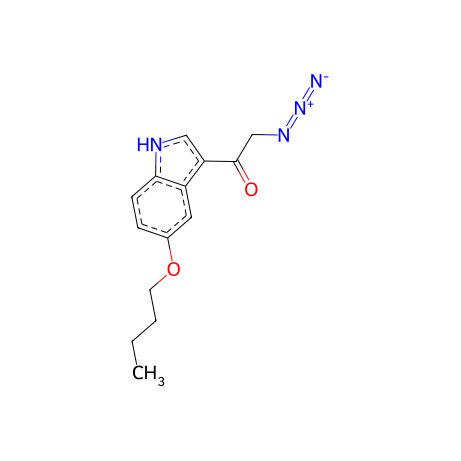 CCCCOc1ccc2[nH]cc(C(=O)CN=[N+]=[N-])c2c1